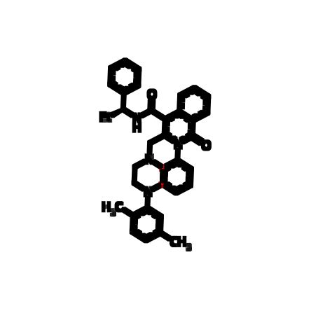 CC[C@H](NC(=O)c1c(CN2CCN(c3cc(C)ccc3C)CC2)n(-c2ccccc2)c(=O)c2ccccc12)c1ccccc1